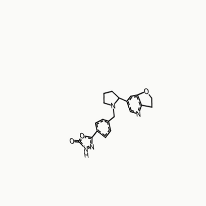 O=c1[nH]nc(-c2ccc(CN3CCCC3c3cnc4c(c3)OCC4)cc2)o1